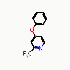 FC(F)(F)c1cc(Oc2ccccc2)ccn1